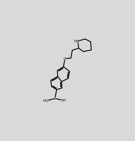 OB(O)c1ccc2cc(OCCC3CCCCN3)ccc2c1